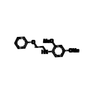 COc1ccc(NC[CH]Oc2ccccc2)c(OC)c1